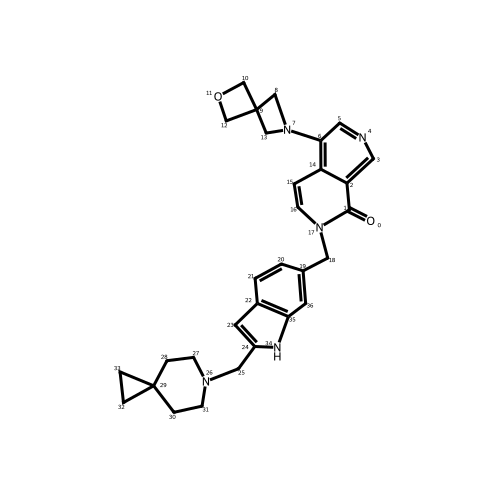 O=c1c2cncc(N3CC4(COC4)C3)c2ccn1Cc1ccc2cc(CN3CCC4(CC3)CC4)[nH]c2c1